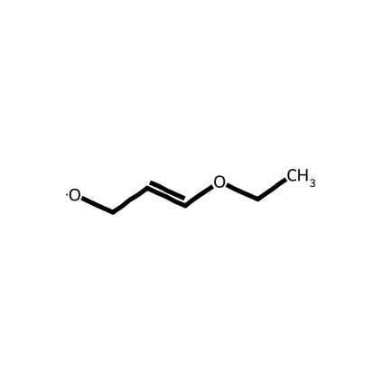 CCOC=CC[O]